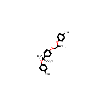 CC(COc1ccc(C(C)(Oc2ccc(C(C)(C)C)cc2)C(=O)O)cc1)Oc1ccc(C(C)(C)C)cc1